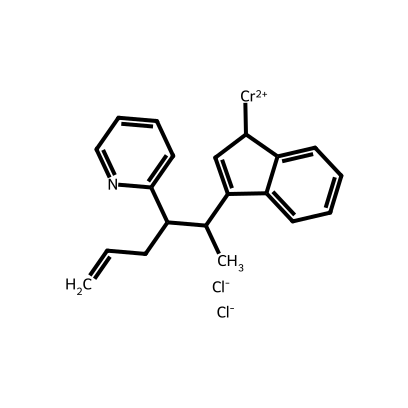 C=CCC(c1ccccn1)C(C)C1=C[CH]([Cr+2])c2ccccc21.[Cl-].[Cl-]